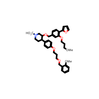 COCCCOc1cc(COC2CN(C(=O)O)CCC2c2ccc(OCCCOCc3ccccc3OC)cc2)ccc1-c1ccco1